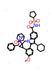 COc1ccc2c(c1)C1CC1(C(=O)N1C3CC1CN(Cc1ccccc1)C3)Cn1c-2c(C2CCCCC2)c2ccc(C(=O)NS(=O)(=O)C3CCCC3)cc21